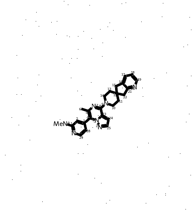 CNc1cc(-c2c(C)nc(N3CCC4(CC3)Cc3cccnc3C4)c3ccnn23)ccn1